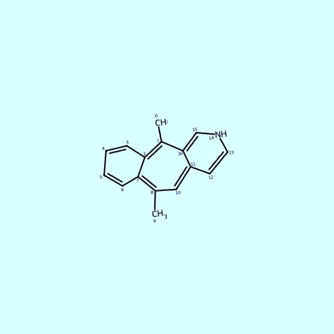 [CH]C1=c2ccccc2=C(C)C=C2C=CNC=C21